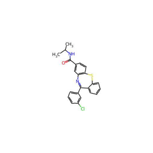 CC(C)NC(=O)c1ccc2c(c1)N=C(c1cccc(Cl)c1)c1ccccc1S2